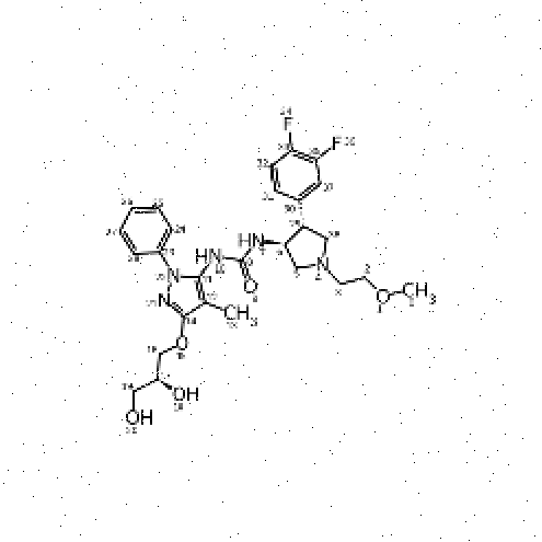 COCCN1C[C@@H](NC(=O)Nc2c(C)c(OC[C@@H](O)CO)nn2-c2ccccc2)[C@H](c2ccc(F)c(F)c2)C1